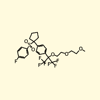 COCCOCCOC(c1ccc(C2(S(=O)(=O)c3ccc(F)cc3)CCCC2)cc1)(C(F)(F)F)C(F)(F)F